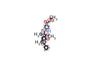 COc1c(C(=O)NC2CCN(C(=O)COC(C)=O)CC2)n(C)c2cc(C)n(CC(=O)c3ccccc3)c(=O)c12